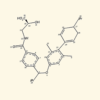 Cc1cc(OC(c2ccc(C(=O)NC[C@H](O)C(=O)O)cc2)C(C)C)cc(C)c1C1=CCC(C(C)C)C=C1